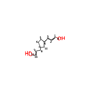 OC=CCC1CCC(CC=CO)C1